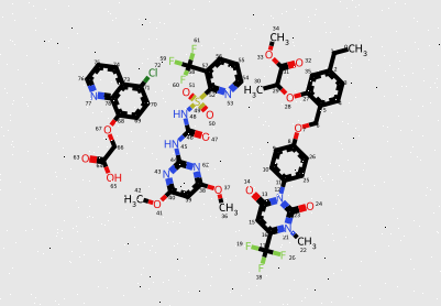 CCc1ccc(COc2ccc(-n3c(=O)cc(C(F)(F)F)n(C)c3=O)cc2)c(OC(C)C(=O)OC)c1.COc1cc(OC)nc(NC(=O)NS(=O)(=O)c2ncccc2C(F)(F)F)n1.O=C(O)COc1ccc(Cl)c2cccnc12